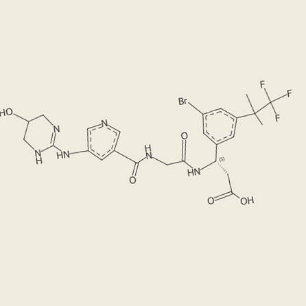 CC(C)(c1cc(Br)cc([C@H](CC(=O)O)NC(=O)CNC(=O)c2cncc(NC3=NCC(O)CN3)c2)c1)C(F)(F)F